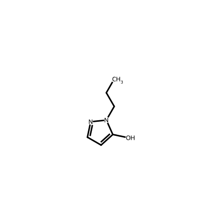 CCCn1nccc1O